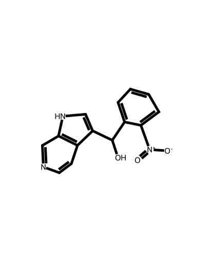 O=[N+]([O-])c1ccccc1C(O)c1c[nH]c2cnccc12